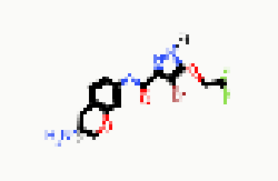 CCn1nc(C(=O)Nc2ccc3c(c2)OC[C@H](N)C3)c(Br)c1OCC(F)F